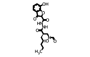 CCCCC[C@H](CN(O)C=O)C(=O)NNC(=O)C1Oc2c(O)cccc2C1=O